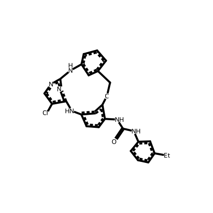 CCc1cccc(NC(=O)Nc2ccc3cc2CCc2cccc(c2)Nc2ncc(Cl)c(n2)N3)c1